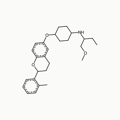 CCC(COC)NC1CCC(Oc2ccc3c(c2)CCC(c2ccccc2C)O3)CC1